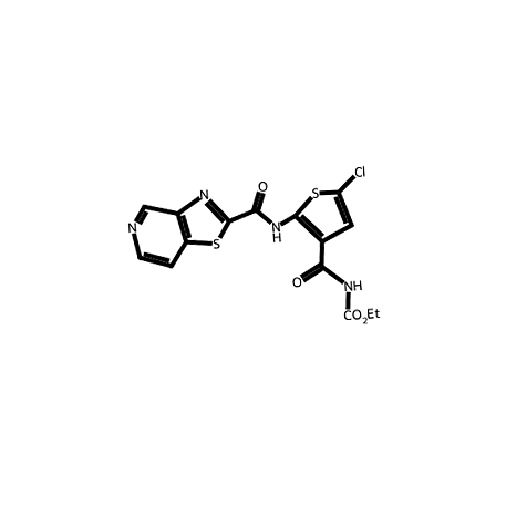 CCOC(=O)NC(=O)c1cc(Cl)sc1NC(=O)c1nc2cnccc2s1